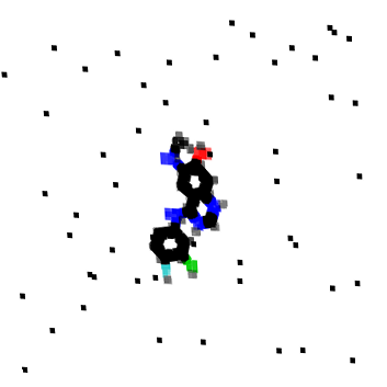 CNc1cc2c(Nc3ccc(F)c(Cl)c3)ncnc2cc1O